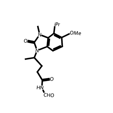 COc1ccc2c(c1C(C)C)n(C)c(=O)n2C(C)CCC(=O)NC=O